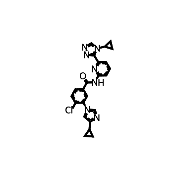 O=C(Nc1cccc(-c2nncn2C2CC2)n1)c1ccc(Cl)c(-n2cnc(C3CC3)c2)c1